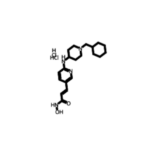 Cl.Cl.O=C(C=Cc1ccc(NC2CCN(CC3CCCCC3)CC2)nc1)NO